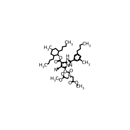 CCCCc1cc(C)cc(-c2nn3c(OC(=O)N(CC(=O)OC)CC(=O)OC)c(C#N)c(C(=O)OC4C(CCCC)CC(C)CC4CCCC)c3[nH]2)c1